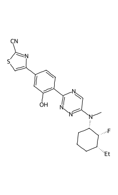 CC[C@@H]1CCC[C@H](N(C)c2cnc(-c3ccc(-c4csc(C#N)n4)cc3O)nn2)[C@@H]1F